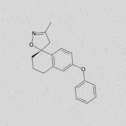 CC1=NO[C@]2(CCCc3cc(Oc4ccccc4)ccc32)C1